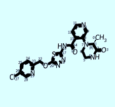 C[C@@H]1C(=O)NCCN1c1cnccc1C(=O)Nc1nnc(OCc2ccc(Cl)cn2)s1